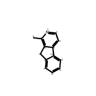 Cc1nccc2c1Cc1ccccc1-2